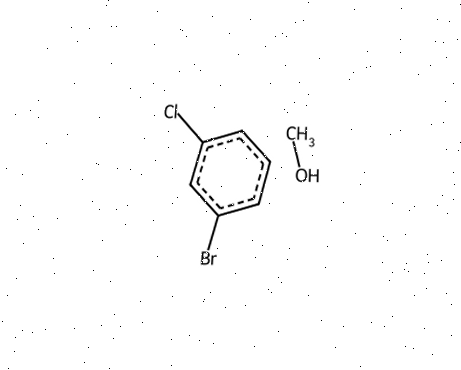 CO.Clc1cccc(Br)c1